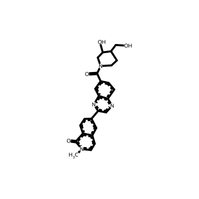 Cn1ccc2cc(-c3cnc4ccc(C(=O)N5CCC(CO)C(O)C5)cc4n3)ccc2c1=O